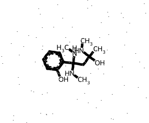 CNC(C)(O)CC(NC)(NC)c1ccccc1O